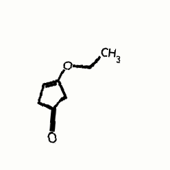 CCOC1=CCC(=O)C1